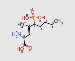 CCCCC(C(C)=CC(N)C(=O)O)P(=O)(O)O